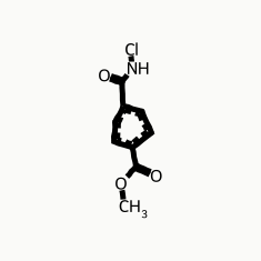 COC(=O)c1ccc(C(=O)NCl)cc1